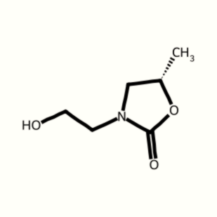 C[C@H]1CN(CCO)C(=O)O1